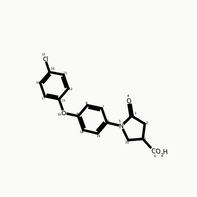 O=C(O)C1CC(=O)N(c2ccc(Oc3ccc(Cl)cc3)cc2)C1